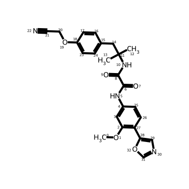 COc1cc(NC(=O)C(=O)NC(C)(C)Cc2ccc(OCC#N)cc2)ccc1-c1cnco1